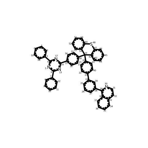 c1ccc(-c2nc(-c3ccccc3)nc(-c3ccc(C4(c5ccc(-c6cccc(-c7nccc8ccccc78)c6)cc5)c5ccccc5Sc5ccccc54)cc3)n2)cc1